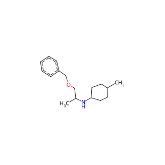 CC1CCC(NC(C)COCc2ccccc2)CC1